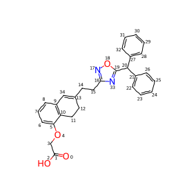 O=C(O)COc1cccc2c1CCC(CCc1noc(C(c3ccccc3)c3ccccc3)n1)=C2